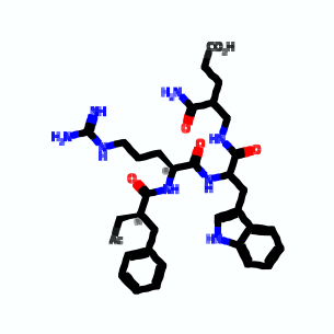 CC(=O)C[C@H](Cc1ccccc1)C(=O)N[C@@H](CCCNC(=N)N)C(=O)NC(Cc1c[nH]c2ccccc12)C(=O)NCC(CCC(=O)O)C(N)=O